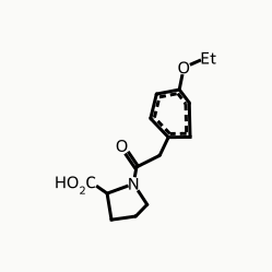 CCOc1ccc(CC(=O)N2CCCC2C(=O)O)cc1